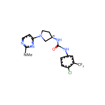 CNc1nccc(N2CC[C@@H](NC(=O)Nc3ccc(Cl)c(C(F)(F)F)c3)C2)n1